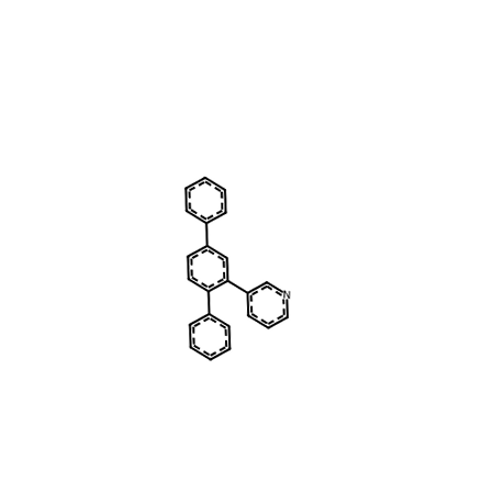 c1ccc(-c2ccc(-c3ccccc3)c(-c3cccnc3)c2)cc1